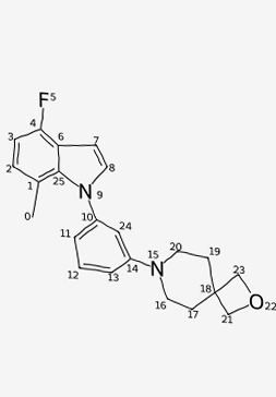 Cc1ccc(F)c2ccn(-c3cccc(N4CCC5(CC4)COC5)c3)c12